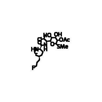 CS[C@H]1O[C@H]([C@H](NC(=O)[C@@H]2CC[C@H](CCCF)CCN2)[C@H](C)Cl)[C@H](O)[C@H](O)[C@H]1OC(C)=O